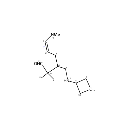 CN/C=C\CC(CNC1COC1)C(C)(C)C=O